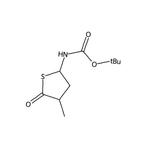 CC1CC(NC(=O)OC(C)(C)C)SC1=O